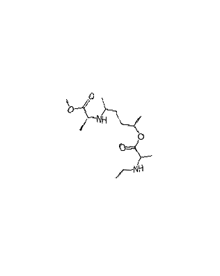 CCNC(C)C(=O)OC(C)CCC(C)N[C@@H](C)C(=O)OC